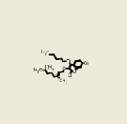 CCC=CCCOc1c(OC/C=C(\C)CCC=C(C)C)c(=O)oc2cc(O)ccc12